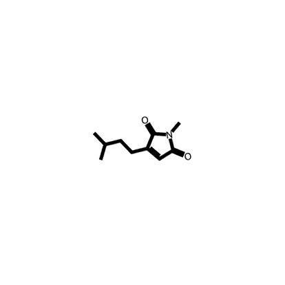 CC(C)CCC1=CC(=O)N(C)C1=O